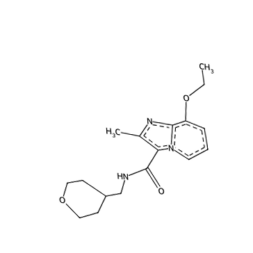 CCOc1cccn2c(C(=O)NCC3CCOCC3)c(C)nc12